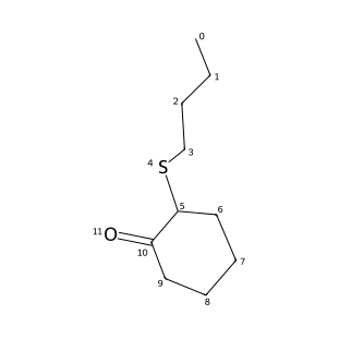 CCCCSC1CCCCC1=O